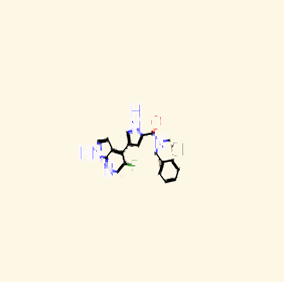 CCN(Cc1ccccc1)C(=O)c1cc(-c2c(F)cnc3[nH]ccc23)c[nH]1